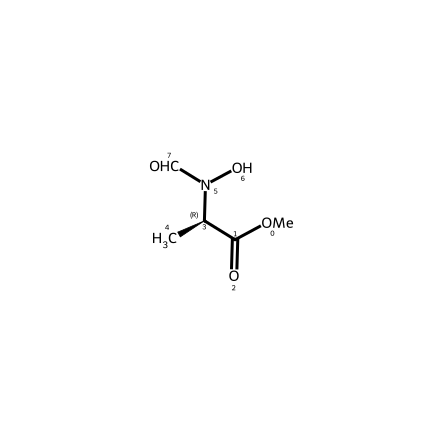 COC(=O)[C@@H](C)N(O)C=O